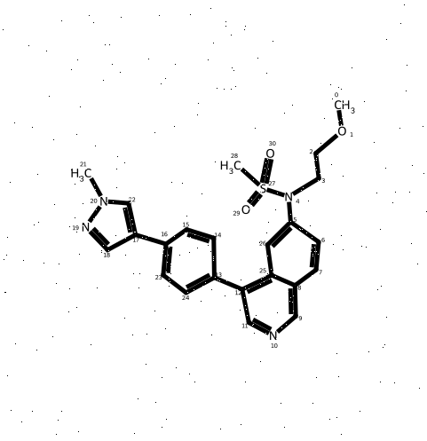 COCCN(c1ccc2cncc(-c3ccc(-c4cnn(C)c4)cc3)c2c1)S(C)(=O)=O